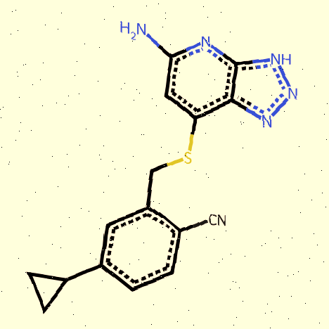 N#Cc1ccc(C2CC2)cc1CSc1cc(N)nc2[nH]nnc12